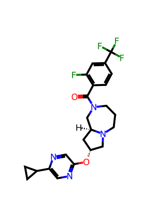 O=C(c1ccc(C(F)(F)F)cc1F)N1CCCN2C[C@H](Oc3cnc(C4CC4)cn3)C[C@H]2C1